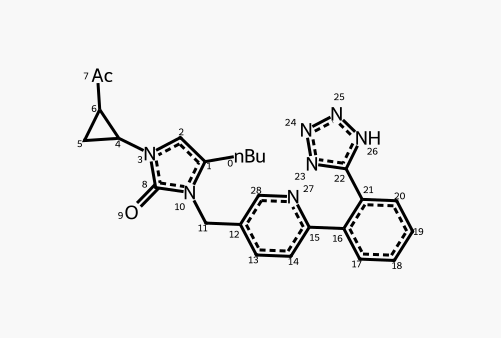 CCCCc1cn(C2CC2C(C)=O)c(=O)n1Cc1ccc(-c2ccccc2-c2nnn[nH]2)nc1